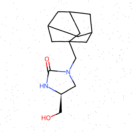 O=C1N[C@H](CO)CN1CC12CC3CC(CC(C3)C1)C2